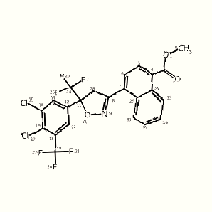 COC(=O)c1ccc(C2=NOC(c3cc(Cl)c(Cl)c(C(F)(F)F)c3)(C(F)(F)F)C2)c2ccccc12